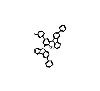 Fc1cccc(-c2cc(-n3c4ccccc4c4cc(-c5ccccc5)ccc43)c(C(F)(F)F)c(-n3c4ccccc4c4cc(-c5ccccc5)ccc43)c2)c1